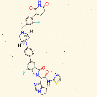 O=C1CCC(c2ccc(CN3C[C@H]4C[C@@H]3CN4c3ccc(-c4cc(F)c5c(c4)C(=O)N(C(C(=O)Nc4nccs4)c4ncn6c4CCC6)C5)cc3)cc2F)C(=O)N1